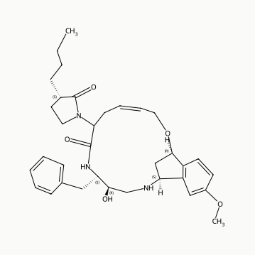 CCCC[C@H]1CCN(C2CC=CCO[C@@H]3C[C@H](NC[C@@H](O)[C@H](Cc4ccccc4)NC2=O)c2cc(OC)ccc23)C1=O